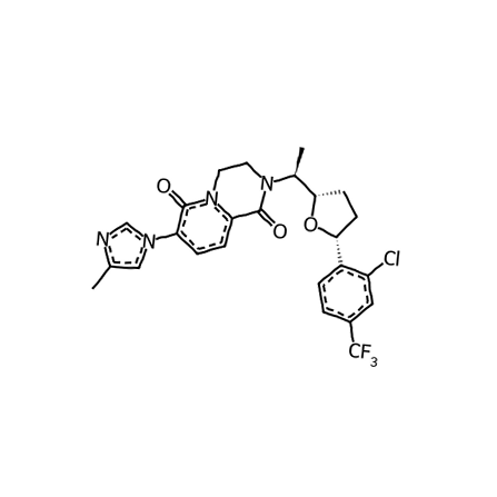 Cc1cn(-c2ccc3n(c2=O)CCN([C@@H](C)[C@@H]2CC[C@H](c4ccc(C(F)(F)F)cc4Cl)O2)C3=O)cn1